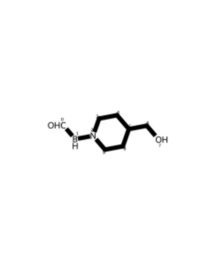 O=CBN1CCC(CO)CC1